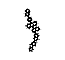 c1ccc2cc(-c3ccc(-c4c5ccccc5c(-c5ccc(-c6ccc7cc8sc9cc%10c(cc9c8cc7c6)sc6ccccc6%10)c6ccccc56)c5ccccc45)cc3)ccc2c1